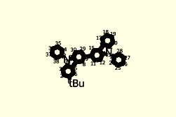 CC(C)(C)c1ccc2c(c1)c1cc(-c3ccc4c(c3)c3ccccc3n4-c3ccccc3)ccc1n2-c1ccccc1